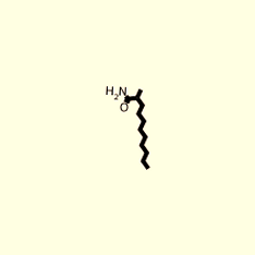 CCCCCCCCCC(C)C(N)=O